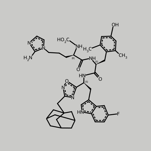 Cc1cc(O)cc(C)c1C[C@H](NC(=O)[C@@H](CCCn1ccnc1N)NC(=O)O)C(=O)N[C@@H](Cc1c[nH]c2ccc(F)cc12)c1nc(CC23CC4CC(CC(C4)C2)C3)no1